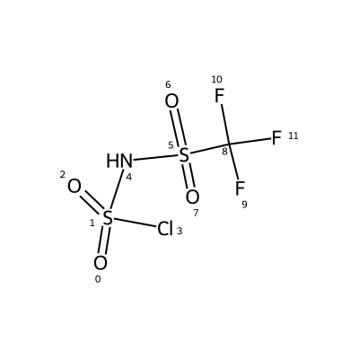 O=S(=O)(Cl)NS(=O)(=O)C(F)(F)F